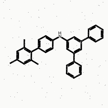 Cc1cc(C)c(-c2ccc(Nc3cc(-c4ccccc4)cc(-c4ccccc4)c3)cc2)c(C)c1